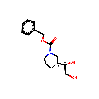 O=C(OCc1ccccc1)N1CCC[C@@H]([C@@H](O)CO)C1